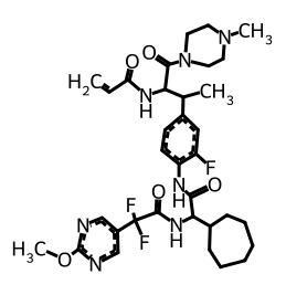 C=CC(=O)NC(C(=O)N1CCN(C)CC1)C(C)c1ccc(NC(=O)C(NC(=O)C(F)(F)c2cnc(OC)nc2)C2CCCCCC2)c(F)c1